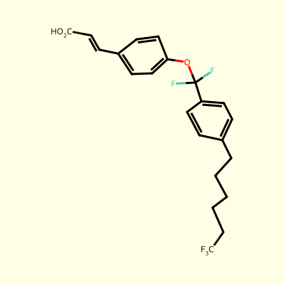 O=C(O)/C=C/c1ccc(OC(F)(F)c2ccc(CCCCCC(F)(F)F)cc2)cc1